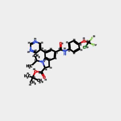 CC(C)N1c2c(cc(C(=O)Nc3ccc(OC(F)(F)Cl)cc3)cc2-c2cncnc2)CC1C(=O)OC(C)(C)C